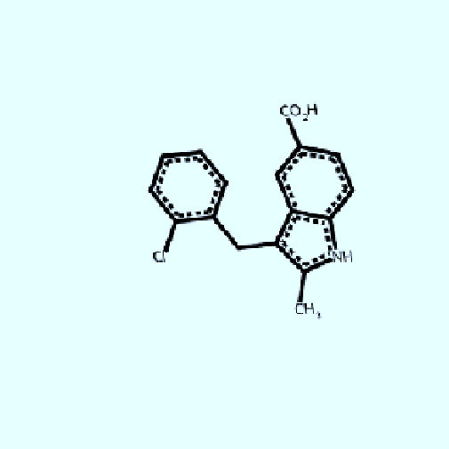 Cc1[nH]c2ccc(C(=O)O)cc2c1Cc1ccccc1Cl